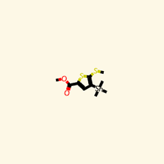 COC(=O)c1c[c]([Sn]([CH3])([CH3])[CH3])c(SC)s1